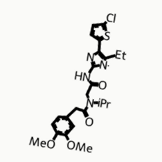 CCC1=C(c2ccc(Cl)s2)N=C(NC(=O)CN(C(=O)Cc2ccc(OC)c(OC)c2)C(C)C)[N]1